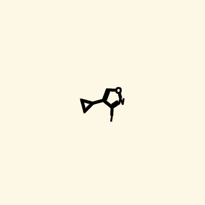 Ic1nocc1C1CC1